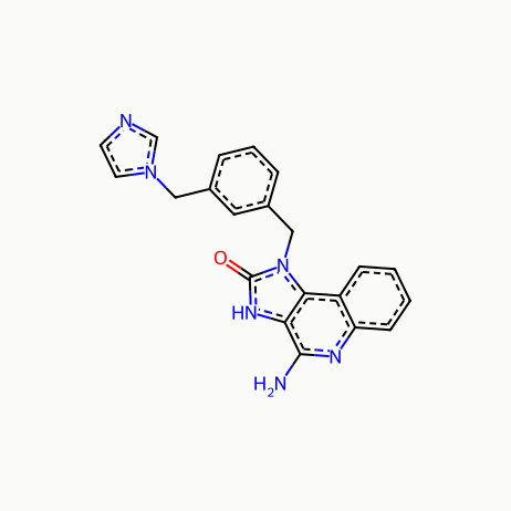 Nc1nc2ccccc2c2c1[nH]c(=O)n2Cc1cccc(Cn2ccnc2)c1